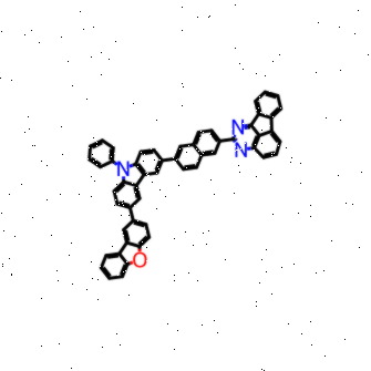 c1ccc(-n2c3ccc(-c4ccc5cc(-c6nc7c8c(cccc8n6)-c6ccccc6-7)ccc5c4)cc3c3cc(-c4ccc5oc6ccccc6c5c4)ccc32)cc1